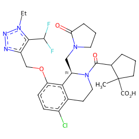 CCn1nnc(COc2ccc(Cl)c3c2[C@@H](CN2CCCC2=O)N(C(=O)C2CCCC2(C)C(=O)O)CC3)c1C(F)F